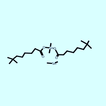 CC(C)(C)CCCCCC(=O)[O][Sn]([CH3])([CH3])[O]C(=O)CCCCCC(C)(C)C.[CH3][Sn][CH3]